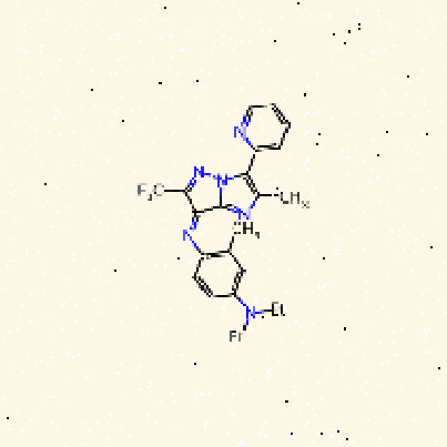 CCN(CC)c1ccc(/N=C2/C(C(F)(F)F)=Nn3c2nc(C)c3-c2ccccn2)c(C)c1